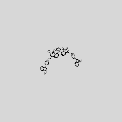 O=C(/C=C\C(=O)On1c(=O)cc(CCN2CCC(c3c[nH]c4ccccc34)CC2)c2ccccc21)On1c(=O)cc(CCN2CCC(c3c[nH]c4ccccc34)CC2)c2ccccc21